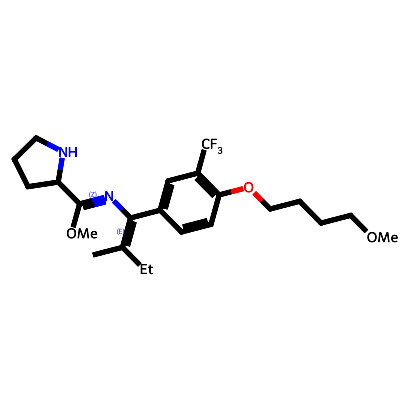 CC/C(C)=C(/N=C(\OC)C1CCCN1)c1ccc(OCCCCOC)c(C(F)(F)F)c1